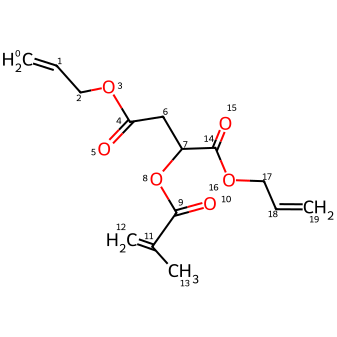 C=CCOC(=O)CC(OC(=O)C(=C)C)C(=O)OCC=C